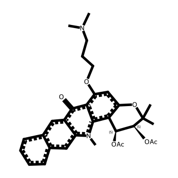 CC(=O)O[C@H]1c2c(cc(OCCCN(C)C)c3c(=O)c4cc5ccccc5cc4n(C)c23)OC(C)(C)[C@H]1OC(C)=O